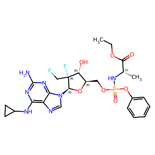 CCOC(=O)[C@H](C)NP(=O)(OC[C@H]1O[C@@H](n2cnc3c(NC4CC4)nc(N)nc32)[C@@](F)(CF)[C@@H]1O)Oc1ccccc1